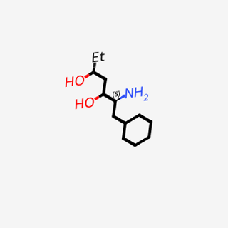 CCC(O)CC(O)[C@@H](N)CC1CCCCC1